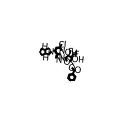 O=C(OC[C@H]1O[C@@H](n2ncc3c(N4C[C@H]5CCC[C@H]5C4)cc(Cl)nc32)[C@H](O)[C@@]1(O)C(F)F)c1ccccc1